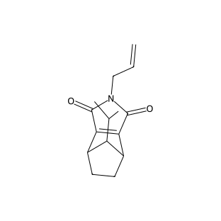 C=CCN1C(=O)C2=C(C1=O)C1CCC2C1C(C)C